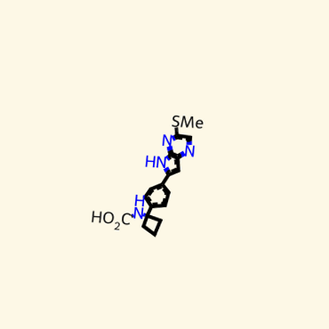 CSc1cnc2cc(-c3ccc(C4(NC(=O)O)CCC4)cc3)[nH]c2n1